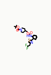 CC(C)(C)OC(=O)N1CCC(COC(=O)Nc2ccccc2-c2nc(CC(F)F)cs2)CC1